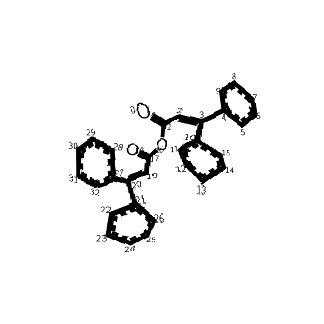 O=C(C=C(c1ccccc1)c1ccccc1)OC(=O)C=C(c1ccccc1)c1ccccc1